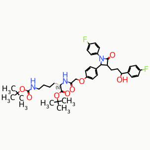 CC(C)(C)OC(=O)NCCCC[C@H](NC(=O)COc1ccc(C2C(CCC(O)c3ccc(F)cc3)C(=O)N2c2ccc(F)cc2)cc1)C(=O)OC(C)(C)C